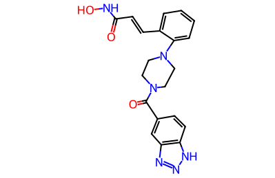 O=C(C=Cc1ccccc1N1CCN(C(=O)c2ccc3[nH]nnc3c2)CC1)NO